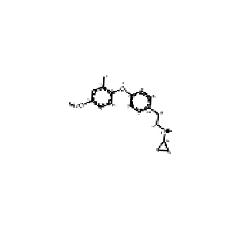 COc1[c]c(C)c(Oc2ccc(CCNC3CC3)cc2)cc1